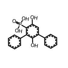 O=P(O)(O)c1c(O)cc(-c2ccccc2)c(O)c1-c1ccccc1